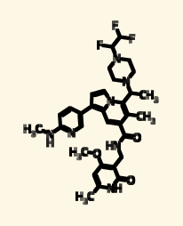 CNc1ccc(-c2ccn3c(C(C)N4CCN(C(F)C(F)F)CC4)c(C)c(C(=O)NCc4c(OC)cc(C)[nH]c4=O)cc23)cn1